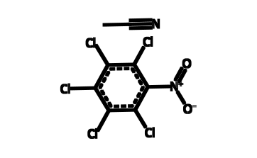 CC#N.O=[N+]([O-])c1c(Cl)c(Cl)c(Cl)c(Cl)c1Cl